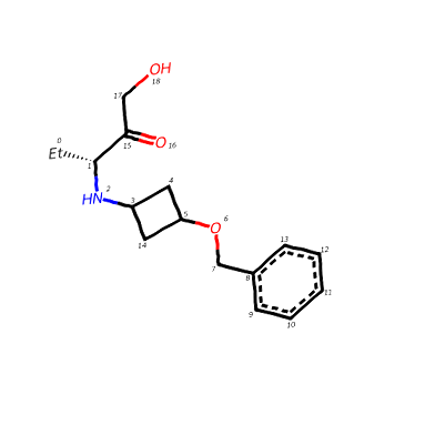 CC[C@@H](NC1CC(OCc2ccccc2)C1)C(=O)CO